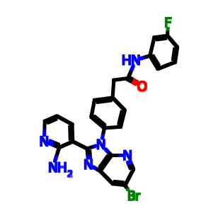 Nc1ncccc1-c1nc2cc(Br)cnc2n1-c1ccc(CC(=O)Nc2cccc(F)c2)cc1